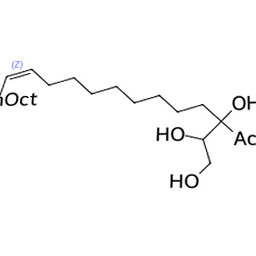 CCCCCCCC/C=C\CCCCCCCCC(O)(C(C)=O)C(O)CO